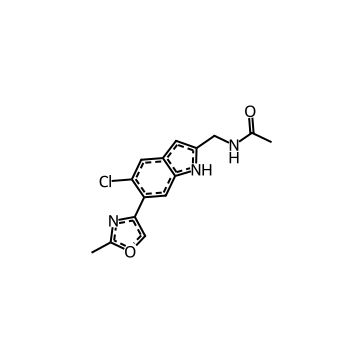 CC(=O)NCc1cc2cc(Cl)c(-c3coc(C)n3)cc2[nH]1